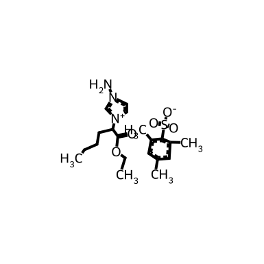 CCCCC(C(=O)OCC)[n+]1ccn(N)c1.Cc1cc(C)c(S(=O)(=O)[O-])c(C)c1